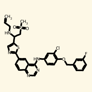 C=CCNC(CS(C)(=O)=O)c1cnc(-c2ccc3ncnc(Nc4ccc(OCc5cccc(F)c5)c(Cl)c4)c3c2)s1